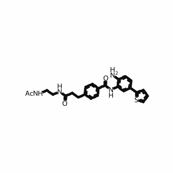 CC(=O)NCCNC(=O)CCc1ccc(C(=O)Nc2cc(-c3cccs3)ccc2N)cc1